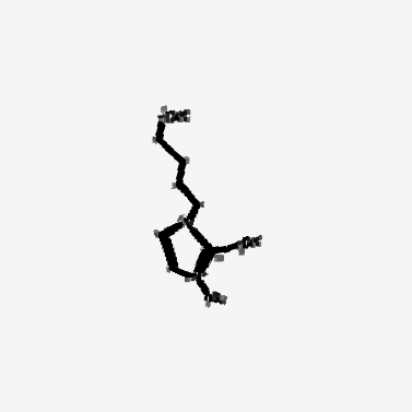 CCCCCCCCCCCCCCn1cc[n+](CCCC)c1CCCCCCCCCC